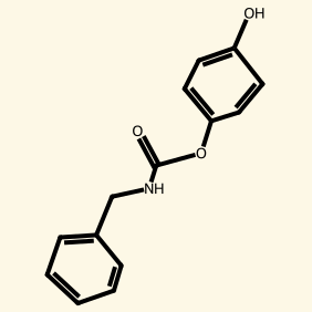 O=C(NCc1ccccc1)Oc1ccc(O)cc1